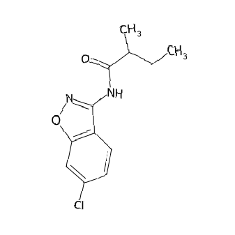 CCC(C)C(=O)Nc1noc2cc(Cl)ccc12